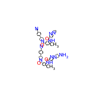 Cc1ccc(C(=O)N2CCC(c3ccc(C#N)cc3)CC2)cc1NC(=O)c1ccc(N2CCC(N)CC2)nc1.Cc1ccc(C(=O)N2CCC(c3ccc(C#N)cc3)CC2)cc1NC(=O)c1ccc(N2CCC2)nc1